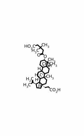 C=C(C)[C@@H]1CC[C@]2(CCC(=O)O)CC[C@]3(C)[C@H](CC[C@@H]4[C@@]5(C)CC[C@H](OC(=O)CC(C)(C)CC(=O)O)C(C)(C)[C@@H]5CC[C@]43C)[C@@H]12